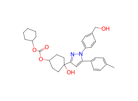 Cc1ccc(-c2cc(C3(O)CCC(OC(=O)OC4CCCCC4)CC3)nn2-c2ccc(CO)cc2)cc1